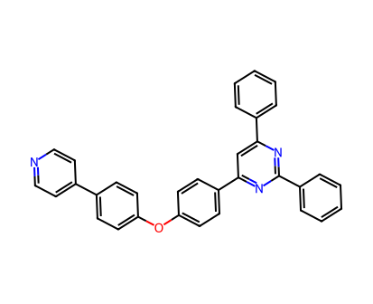 c1ccc(-c2cc(-c3ccc(Oc4ccc(-c5ccncc5)cc4)cc3)nc(-c3ccccc3)n2)cc1